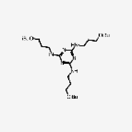 CC(C)COCCCNc1nc(NCCCOCC(C)C)nc(NCCCOCC(C)C)n1